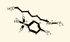 CCCCCCCCNC.Cc1ccc(S(=O)(=O)O)cc1